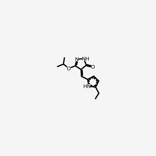 CCc1ccc(/C=C2\C(=O)NN=C2OC(C)C)[nH]1